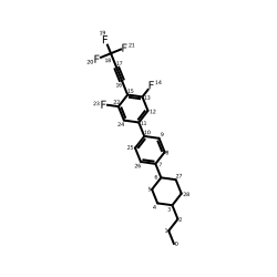 CCCC1CCC(c2ccc(-c3cc(F)c(C#CC(F)(F)F)c(F)c3)cc2)CC1